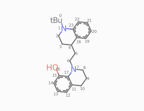 CC(C)(C)N1CCC(CCN2CCCc3cccc(O)c32)c2ccccc21